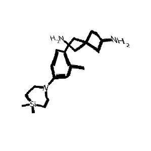 Cc1cc(N2CC[Si](C)(C)CC2)ccc1C1(N)CC2(CC(N)C2)C1